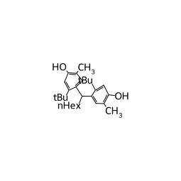 CCCCCCC(c1cc(C)c(O)cc1C(C)(C)C)c1cc(C)c(O)cc1C(C)(C)C